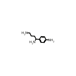 NCCCC(N)c1ccc(N)cc1